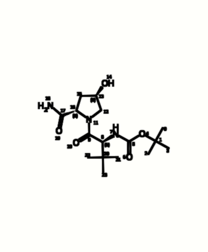 CC(C)(C)OC(=O)N[C@H](C(=O)N1C[C@H](O)C[C@H]1C(N)=O)C(C)(C)C